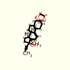 CC#C[C@]1(O)CC[C@H]2[C@@H]3CCC4=C(CCC5(C4)OCCO5)C3=CC[C@@]21C